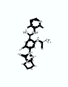 Cc1ccnc(C)c1NC(O)c1cc(F)c(-n2nc3n(c2=O)CCCC3)cc1O[C@@H](C)C(F)(F)F